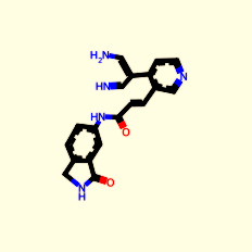 N=C/C(=C\N)c1ccncc1/C=C/C(=O)Nc1ccc2c(c1)C(=O)NC2